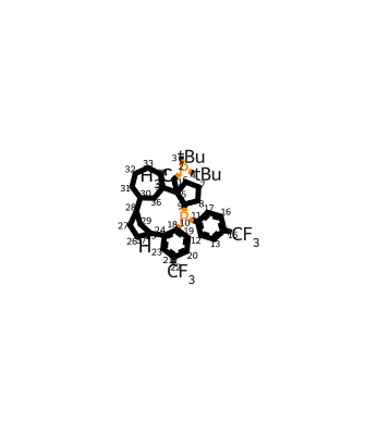 C[C@@H](P(C(C)(C)C)C(C)(C)C)C12CCCC1P(c1ccc(C(F)(F)F)cc1)c1ccc(C(F)(F)F)cc1[C@@H]1CCC(C1)C1CCCCC2C1